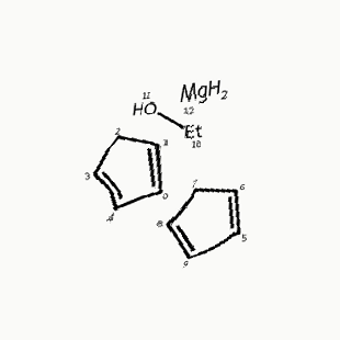 C1=CCC=C1.C1=CCC=C1.CCO.[MgH2]